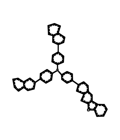 c1ccc2cc(-c3ccc(N(c4ccc(-c5ccc6ccccc6c5)cc4)c4ccc(-c5ccc6cc7c(cc6c5)oc5ccccc57)cc4)cc3)ccc2c1